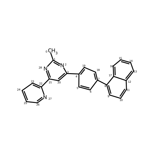 Cc1nc(-c2ccc(-c3cccc4ccccc34)cc2)cc(-c2ccccn2)n1